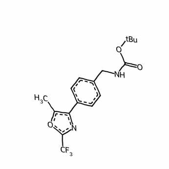 Cc1oc(C(F)(F)F)nc1-c1ccc(CNC(=O)OC(C)(C)C)cc1